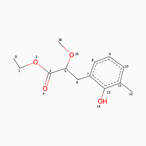 CCOC(=O)C(Cc1cccc(C)c1O)OC